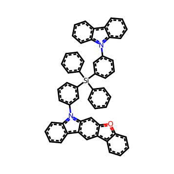 c1ccc([Si](c2ccccc2)(c2cccc(-n3c4ccccc4c4ccccc43)c2)c2cccc(-n3c4ccccc4c4cc5c(cc43)oc3ccccc35)c2)cc1